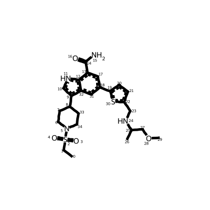 CCS(=O)(=O)N1CCC(c2c[nH]c3c(C(N)=O)cc(-c4ccc(CNC(C)COC)s4)cc23)CC1